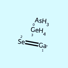 [AsH3].[Ga]=[Se].[GeH4]